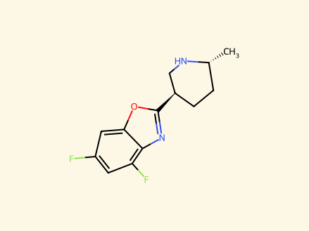 C[C@@H]1CC[C@@H](c2nc3c(F)cc(F)cc3o2)CN1